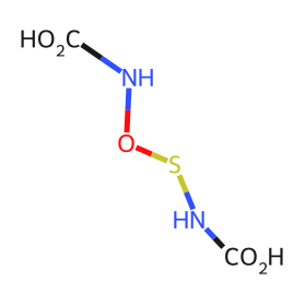 O=C(O)NOSNC(=O)O